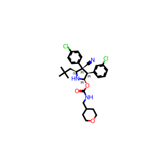 CC(C)(C)C[C@@H]1N[C@H](OC(=O)NCC2CCOCC2)[C@H](c2cccc(Cl)c2)[C@@]1(C#N)c1ccc(Cl)cc1